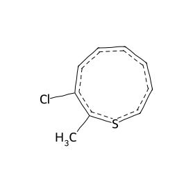 Cc1sccccccc1Cl